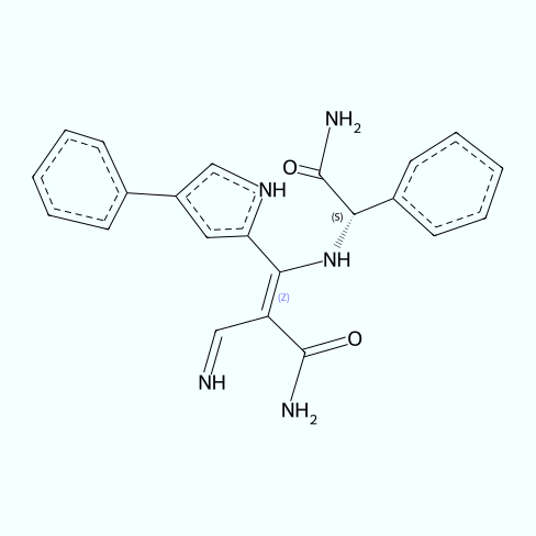 N=C/C(C(N)=O)=C(/N[C@H](C(N)=O)c1ccccc1)c1cc(-c2ccccc2)c[nH]1